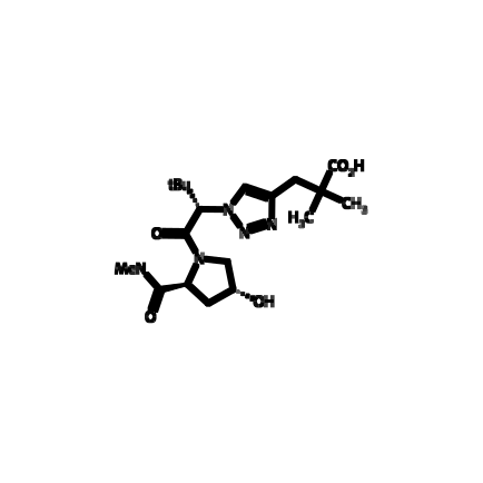 CNC(=O)[C@@H]1C[C@@H](O)CN1C(=O)[C@@H](n1cc(CC(C)(C)C(=O)O)nn1)C(C)(C)C